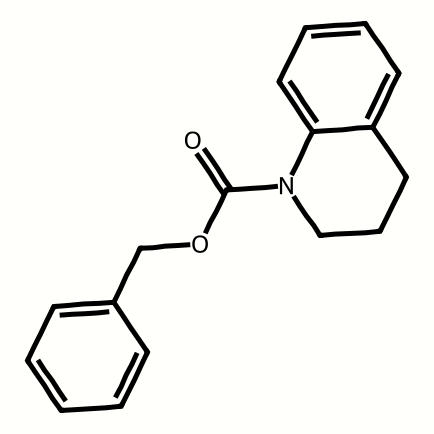 O=C(OCc1ccccc1)N1CCCc2ccccc21